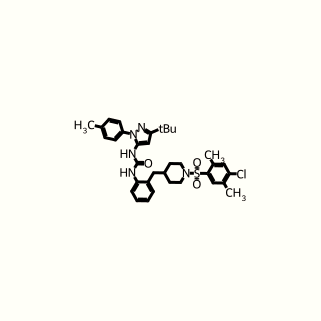 Cc1ccc(-n2nc(C(C)(C)C)cc2NC(=O)Nc2ccccc2CC2CCN(S(=O)(=O)c3cc(C)c(Cl)cc3C)CC2)cc1